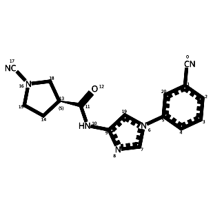 N#Cc1cccc(-n2cnc(NC(=O)[C@H]3CCN(C#N)C3)c2)c1